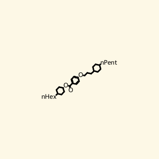 CCCCCCC1CCC(OC(=O)c2ccc(OCCCC3CCC(CCCCC)CC3)cc2)CC1